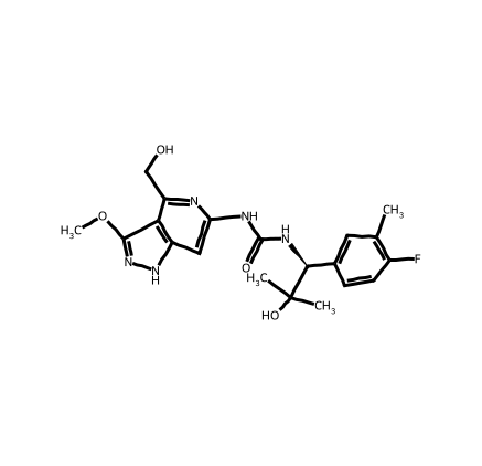 COc1n[nH]c2cc(NC(=O)N[C@@H](c3ccc(F)c(C)c3)C(C)(C)O)nc(CO)c12